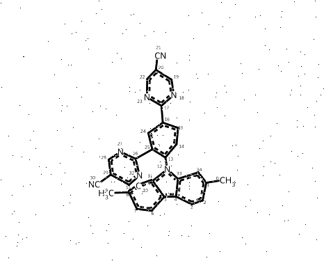 Cc1ccc2c3ccc(C)cc3n(-c3ccc(-c4ncc(C#N)cn4)cc3-c3ncc(C#N)cn3)c2c1